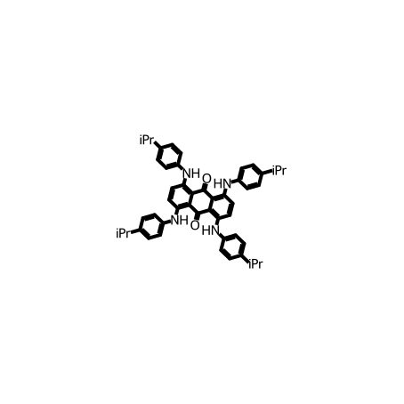 CC(C)c1ccc(Nc2ccc(Nc3ccc(C(C)C)cc3)c3c2C(=O)c2c(Nc4ccc(C(C)C)cc4)ccc(Nc4ccc(C(C)C)cc4)c2C3=O)cc1